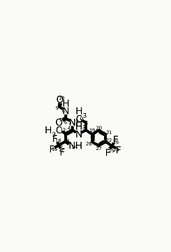 CCC(N/C(NC(=O)NC=O)=C(/C)C(=N)C(F)(F)F)c1ccc(C(F)(F)F)cc1